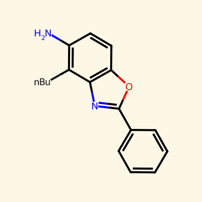 CCCCc1c(N)ccc2oc(-c3ccccc3)nc12